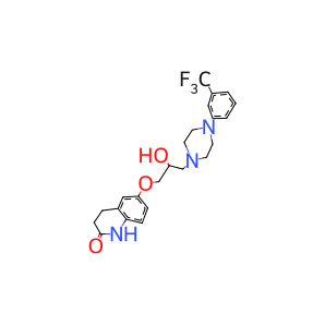 O=C1CCc2cc(OC[C@@H](O)CN3CCN(c4cccc(C(F)(F)F)c4)CC3)ccc2N1